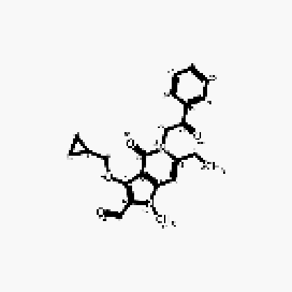 CCc1cc2c(c(OCC3CC3)c(C=O)n2C)c(=O)n1CC(=O)c1ccccc1